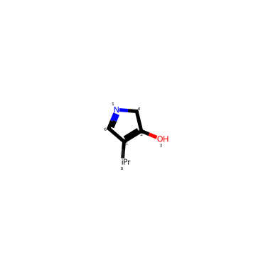 CC(C)C1=C(O)CN=C1